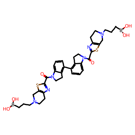 O=C(c1nc2c(s1)CN(CCCB(O)O)CC2)N1CCc2c(-c3cccc4c3CCN4C(=O)c3nc4c(s3)CN(CCCB(O)O)CC4)cccc21